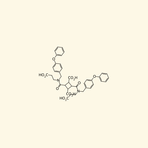 O=C(O)CCN(Cc1ccc(Oc2ccccc2)cc1)C(=O)C1C(C(=O)O)C(C(=O)N(CCC(=O)O)Cc2ccc(Oc3ccccc3)cc2)C1C(=O)O